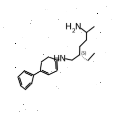 CC[C@@H](CCC(C)N)CNC1=CC=C(c2ccccc2)CC1